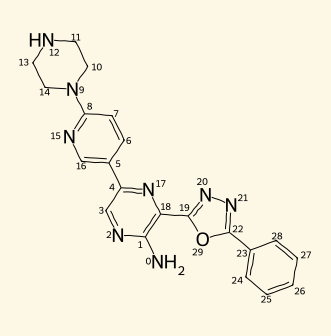 Nc1ncc(-c2ccc(N3CCNCC3)nc2)nc1-c1nnc(-c2ccccc2)o1